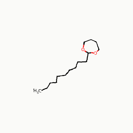 CCCCCCCCCCC1OCCCCO1